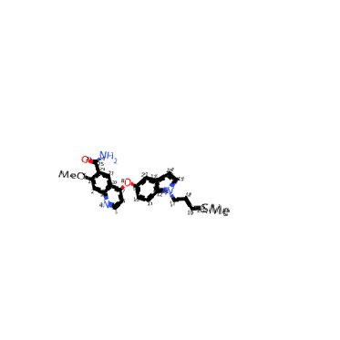 COc1cc2nccc(Oc3ccc4c(ccn4CCCSC)c3)c2cc1C(N)=O